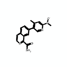 Cc1cc([S+](C)[O-])ncc1-c1ccc2c[c]nc(C(N)=O)c2c1